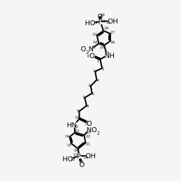 O=C(CCCCCCCCC(=O)Nc1ccc(P(=O)(O)O)cc1[N+](=O)[O-])Nc1ccc(P(=O)(O)O)cc1[N+](=O)[O-]